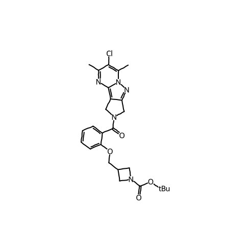 Cc1nc2c3c(nn2c(C)c1Cl)CN(C(=O)c1ccccc1OCC1CN(C(=O)OC(C)(C)C)C1)C3